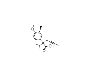 CC#CCC(C(=O)O)(c1ccc(OC)c(F)c1)C(C)C